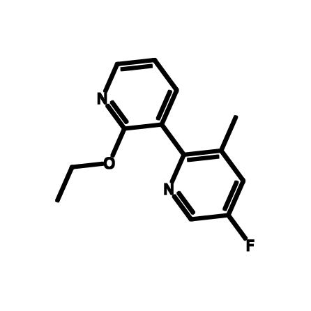 CCOc1ncccc1-c1ncc(F)cc1C